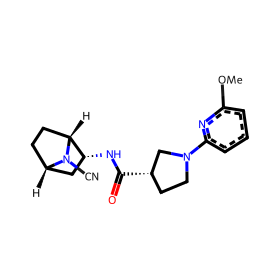 COc1cccc(N2CC[C@H](C(=O)N[C@@H]3C[C@@H]4CC[C@H]3N4C#N)C2)n1